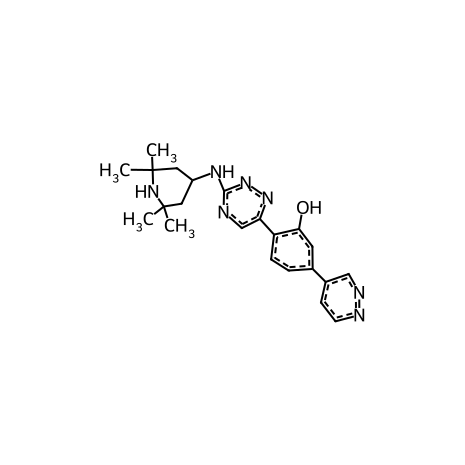 CC1(C)CC(Nc2ncc(-c3ccc(-c4ccnnc4)cc3O)nn2)CC(C)(C)N1